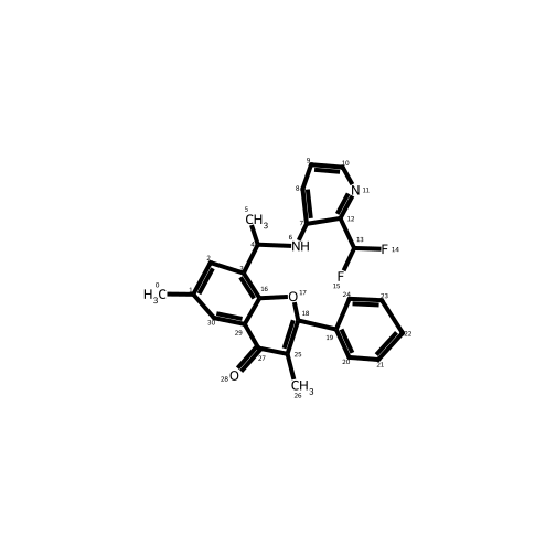 Cc1cc(C(C)Nc2cccnc2C(F)F)c2oc(-c3ccccc3)c(C)c(=O)c2c1